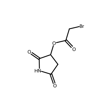 O=C1CC(OC(=O)CBr)C(=O)N1